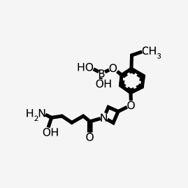 CCc1ccc(OC2CN(C(=O)CCCC(N)O)C2)cc1OB(O)O